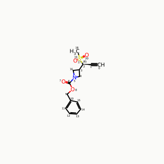 C#C[C@@H](C1CN(C(=O)OCc2ccccc2)C1)S(C)(=O)=O